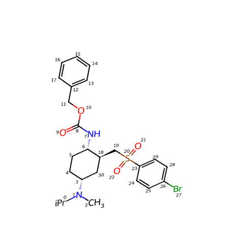 CC(C)N(C)[C@@H]1CC[C@H](NC(=O)OCc2ccccc2)[C@@H](CS(=O)(=O)c2ccc(Br)cc2)C1